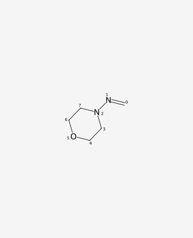 C=NN1CCOCC1